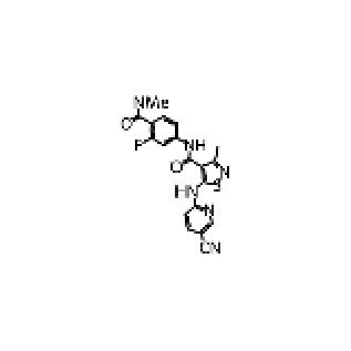 CNC(=O)c1ccc(NC(=O)c2c(C)nsc2Nc2ccc(C#N)cn2)cc1F